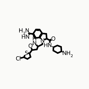 N=C(N)c1ccc2c(c1)N(CC1CC(C3CCC(Cl)S3)ON1)C(C(=O)N[C@H]1CC[C@H](N)CC1)C2